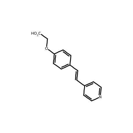 O=C(O)COc1ccc(C=Cc2ccncc2)cc1